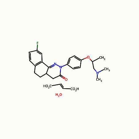 CC(CN(C)C)Oc1ccc(N2N=C3c4cc(F)ccc4CCC3CC2=O)cc1.O.O=C(O)/C=C/C(=O)O